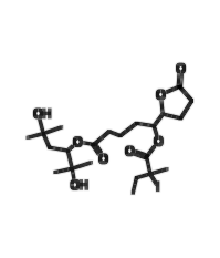 CCC(C)(I)C(=O)OC(CCCC(=O)OC(CC(C)(C)O)C(C)(C)O)C1CCC(=O)O1